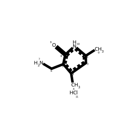 Cc1cc(C)c(CN)c(=O)[nH]1.Cl